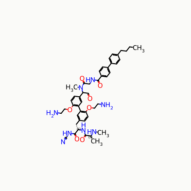 CCCCc1ccc(-c2ccc(C(=O)NCC(=O)N(C)C(C=O)c3ccc(OCCN)c(-c4cc(C[C@H](NC(=O)[C@H](C)NC)C(=O)NC#N)ccc4OCCN)c3)cc2)cc1